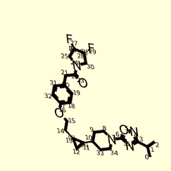 CC(C)c1noc(N2CCC([C@H]3C[C@H]3CCOc3ccc(CC(=O)N4C[C@@H](F)[C@H](F)C4)cc3)CC2)n1